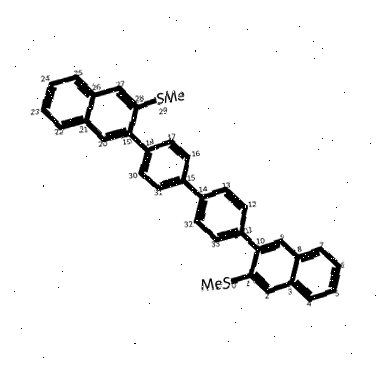 CSc1cc2ccccc2cc1-c1ccc(-c2ccc(-c3cc4ccccc4cc3SC)cc2)cc1